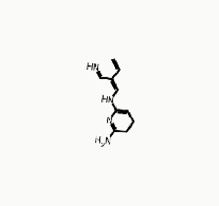 C=C/C(C=N)=C/NC1=CCCC(N)=N1